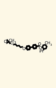 CC1CCC(C(C)C)C(OC(=O)c2ccc(-c3ccc(OCCCCCCOCC4(C)COC4)cc3)cc2)C1